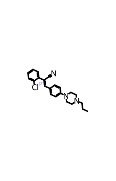 CCCN1CCN(c2ccc(/C=C(\C#N)c3ccccc3Cl)cc2)CC1